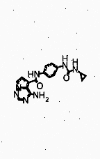 Nc1ncnn2ccc(C(=O)Nc3ccc(NC(=O)NC4CC4)cc3)c12